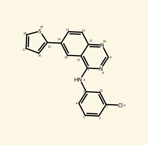 Clc1cccc(Nc2ncnc3ccc(-c4cccs4)cc23)c1